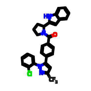 O=C(c1ccc(-c2cc(C(F)(F)F)nn2-c2ccccc2Cl)cc1)N1CCCC1c1cc2ccccc2[nH]1